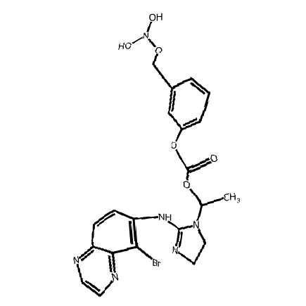 CC(OC(=O)Oc1cccc(CON(O)O)c1)N1CCN=C1Nc1ccc2nccnc2c1Br